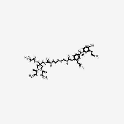 C=CCc1cc(S(=O)(=O)c2ccc(OC(=O)NCCCCCNC(=O)OCC(COC(=O)C=C)(COC(=O)C=C)COC(=O)C=C)c(CC=C)c2)ccc1O